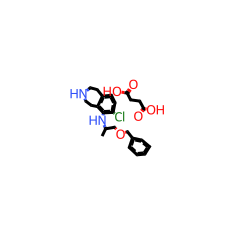 CC(COCc1ccccc1)Nc1c(Cl)ccc2c1CCNCC2.O=C(O)CCC(=O)O